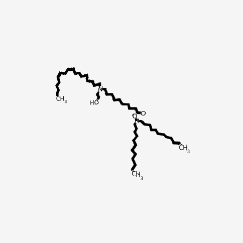 CCCCC/C=C\C/C=C\CCCCCCCCN(CCO)CCCCCCCCCC(=O)ON(CCCCCCCCCCCC)CCCCCCCCCCCC